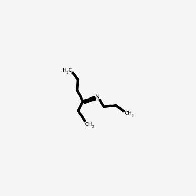 [CH2]CCC(CC)=NCCC